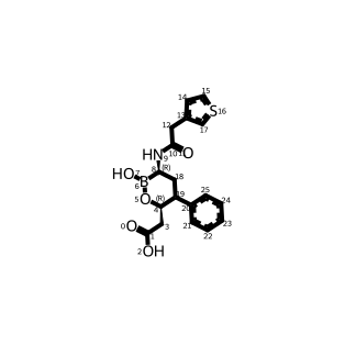 O=C(O)C[C@H]1OB(O)[C@@H](NC(=O)Cc2ccsc2)CC1c1ccccc1